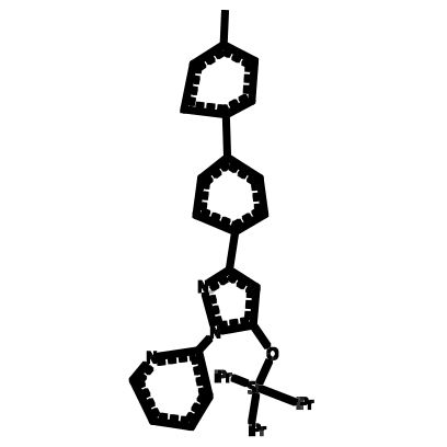 Cc1ccc(-c2ccc(-c3cc(O[Si](C(C)C)(C(C)C)C(C)C)n(-c4ccccn4)n3)cc2)cc1